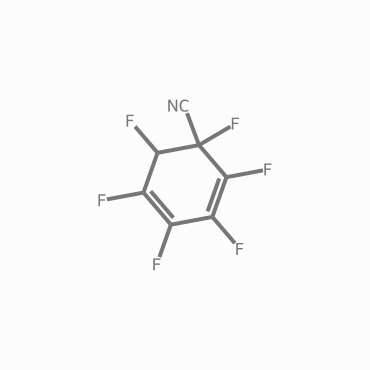 N#CC1(F)C(F)=C(F)C(F)=C(F)C1F